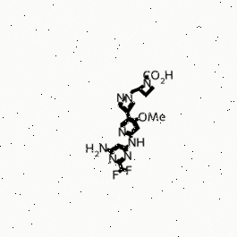 COc1cc(Nc2cc(N)nc(C(F)F)n2)ncc1-c1cnn(CC2CCN2C(=O)O)c1